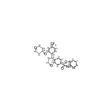 O=S(=O)(Nc1ncccn1)c1ccc2c(c1)OCCC2c1ccc(C(F)(F)F)cc1OC1CCOCC1